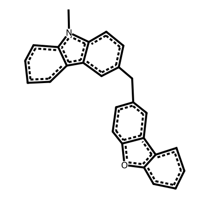 Cn1c2ccccc2c2cc(Cc3ccc4oc5ccccc5c4c3)ccc21